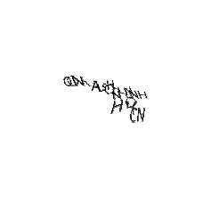 N#Cc1ccc2c(-c3cc4ccc(C[AsH]CCN5CCOCC5)cc4[nH]3)n[nH]c2c1